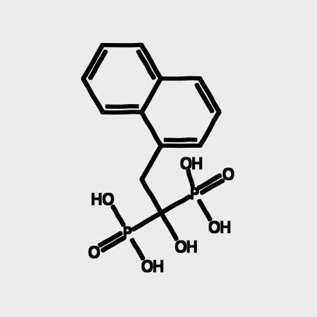 O=P(O)(O)C(O)(Cc1cccc2ccccc12)P(=O)(O)O